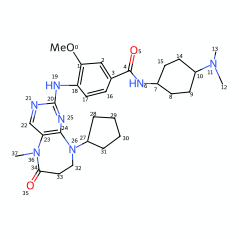 COc1cc(C(=O)NC2CCC(N(C)C)CC2)ccc1Nc1ncc2c(n1)N(C1CCCC1)CCC(=O)N2C